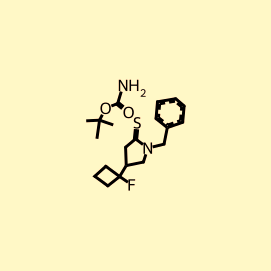 CC(C)(C)OC(N)=O.FC1(C2CC(=S)N(Cc3ccccc3)C2)CCC1